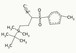 [C-]#[N+]C(CC[Si](C)(C)C(C)(C)C)S(=O)(=O)c1ccc(C)cc1